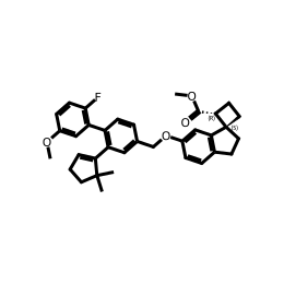 COC(=O)[C@@H]1CC[C@]12CCc1ccc(OCc3ccc(-c4cc(OC)ccc4F)c(C4=CCCC4(C)C)c3)cc12